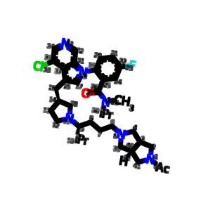 CC(=O)N1CC2CN(CCC[C@@H](C(C)C)N3CC[C@@H](Cc4cn(-c5ccc(F)cc5C(=O)N(C)C(C)C)c5cncc(Cl)c45)C3)C[C@H]2C1